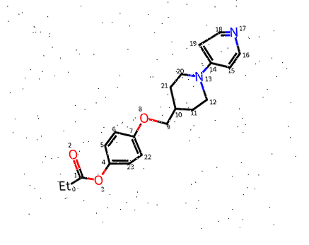 CCC(=O)Oc1ccc(OCC2CCN(c3ccncc3)CC2)cc1